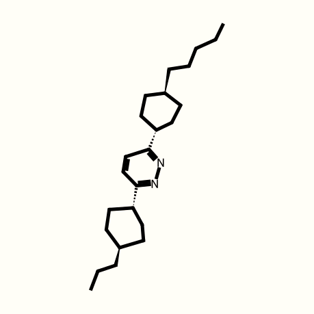 CCCCC[C@H]1CC[C@H](c2ccc([C@H]3CC[C@H](CCC)CC3)nn2)CC1